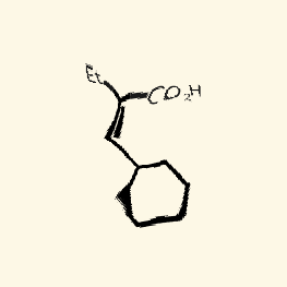 CCC(=CC1CCCCC1)C(=O)O